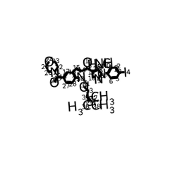 Cc1cc(I)ccc1-n1ncc(C(=O)c2cc3cc(C(=O)N4CCOCC4)ccc3n2COCC[Si](C)(C)C)c1N